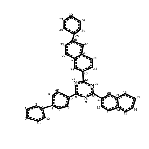 c1ccc(-c2ccc(-c3nc(-c4ccc5ccccc5c4)nc(-c4ccc5cc(-c6ccccc6)ccc5c4)n3)cc2)cc1